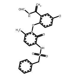 C=C(NC=O)c1cc(Cl)ccc1On1c(C)ccc(NS(=O)(=O)Cc2ccccc2)c1=O